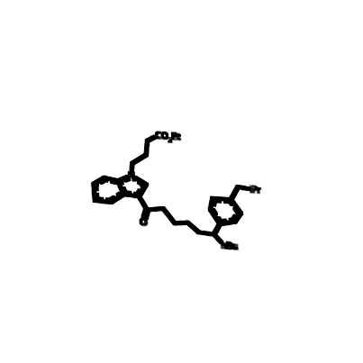 CCCCC(CCCCC(=O)c1cn(CCCC(=O)OCC)c2ccccc12)c1ccc(CC(C)C)cc1